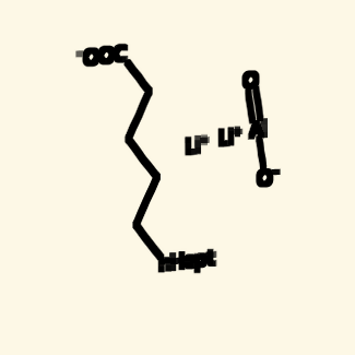 CCCCCCCCCCCC(=O)[O-].[Li+].[Li+].[O]=[Al][O-]